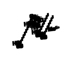 CCCCCCCCCCCCCCC(O)C(=O)[O-].CCCCCCCCCCCCCCC(O)C(=O)[O-].CCCCCCCCCCCCCCC(O)C(=O)[O-].O=C([O-])C=Cc1c[nH]cn1.O=C([O-])C=Cc1c[nH]cn1.O=C([O-])C=Cc1c[nH]cn1.[Mo+6]